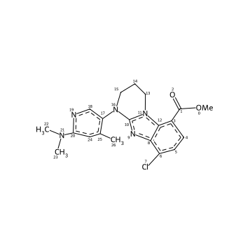 COC(=O)c1ccc(Cl)c2nc3n(c12)CCCN3c1cnc(N(C)C)cc1C